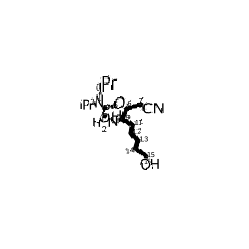 CC(C)N(C(C)C)P(O)OC(CC#N)C(N)CCCCCO